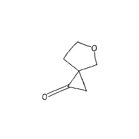 O=C1CC12CCOC2